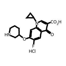 Cl.O=C(O)c1cn(C2CC2)c2cc(OC3CCCNC3)c(F)cc2c1=O